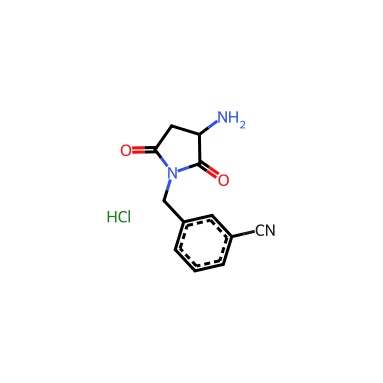 Cl.N#Cc1cccc(CN2C(=O)CC(N)C2=O)c1